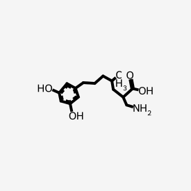 CC(CCCc1cc(O)cc(O)c1)CC(CN)C(=O)O